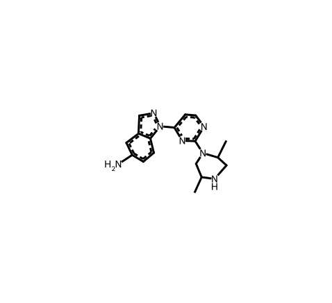 CC1CN(c2nccc(-n3ncc4cc(N)ccc43)n2)C(C)CN1